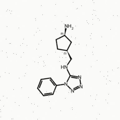 N[C@@H]1CC[C@H](CNc2nnnn2-c2ccccc2)C1